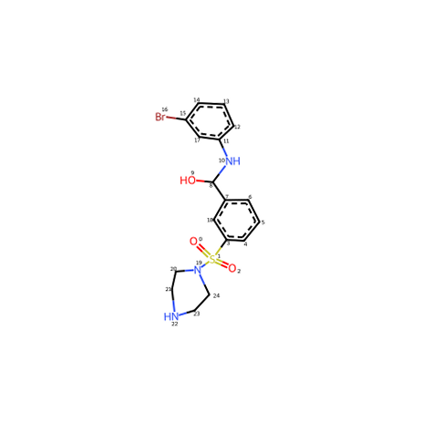 O=S(=O)(c1cccc(C(O)Nc2cccc(Br)c2)c1)N1CCNCC1